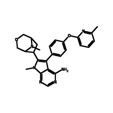 Cc1cccc(Oc2ccc(-c3c(C4CC5COCC4N5C)n(C)c4ncnc(N)c34)cc2)n1